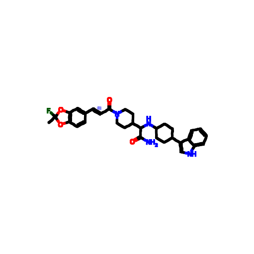 CC1(F)Oc2ccc(/C=C/C(=O)N3CCC(C(NC4CCC(c5c[nH]c6ccccc56)CC4)C(N)=O)CC3)cc2O1